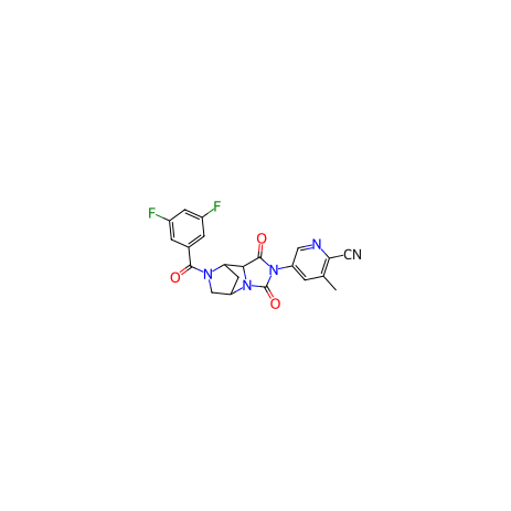 Cc1cc(N2C(=O)C3C4CC(CN4C(=O)c4cc(F)cc(F)c4)N3C2=O)cnc1C#N